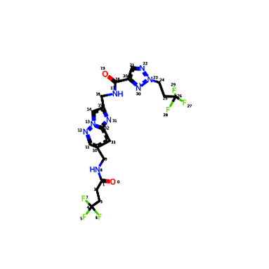 O=C(CCC(F)(F)F)NCc1cnn2cc(CNC(=O)c3cnn(CCC(F)(F)F)n3)nc2c1